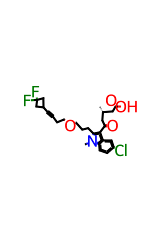 C[C@H](CC(=O)O)CC(=O)c1c(CCCOCCC#CC2CC(F)(F)C2)n(C)c2ccc(Cl)cc12